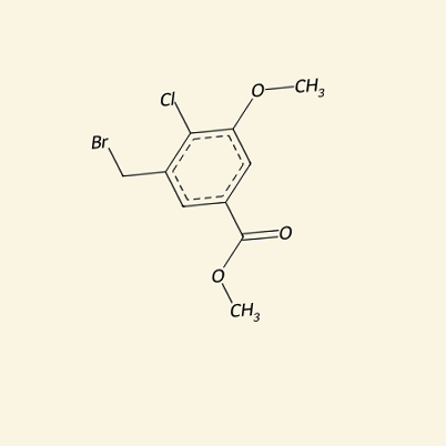 COC(=O)c1cc(CBr)c(Cl)c(OC)c1